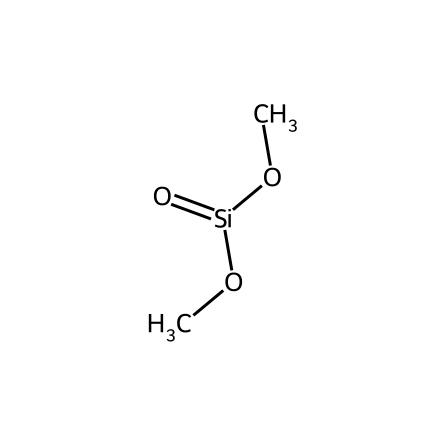 CO[Si](=O)OC